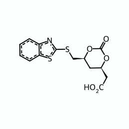 O=C(O)C[C@H]1C[C@@H](CSc2nc3ccccc3s2)OC(=O)O1